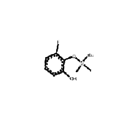 CC(C)(C)[Si](C)(C)Oc1c(O)cccc1F